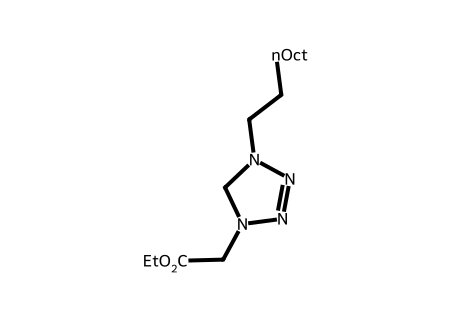 CCCCCCCCCCN1CN(CC(=O)OCC)N=N1